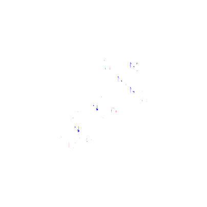 COc1cnc2ccc(=O)n(CC[C@H](O)CN3CCC(N(C(=O)O)C(C)(C)C)CC3)c2n1